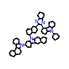 c1ccc(-n2c3ccccc3c3c(-c4nc5ccccc5nc4-c4ccc5c(-n6c7cc(-n8c9ccccc9c9c%10ccccc%10ccc98)ccc7c7cc8ccccc8cc76)cccc5c4)cccc32)cc1